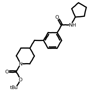 CC(C)(C)OC(=O)N1CCC(Cc2cccc(C(=O)NC3CCCC3)c2)CC1